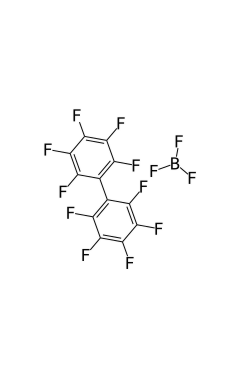 FB(F)F.Fc1c(F)c(F)c(-c2c(F)c(F)c(F)c(F)c2F)c(F)c1F